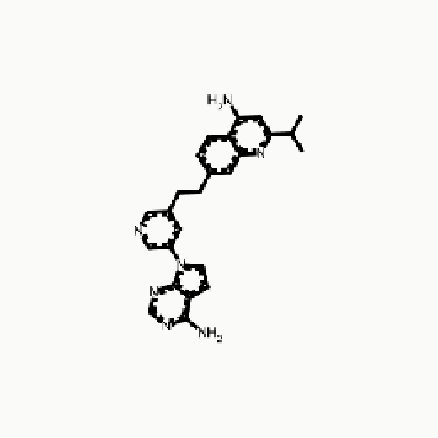 CC(C)c1cc(N)c2ccc(CCc3cncc(-n4ccc5c(N)ncnc54)c3)cc2n1